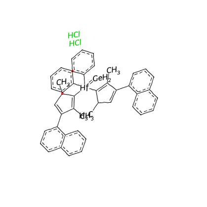 CC1=[C]([Hf](=[GeH2])([C]2=C(C)C(c3cccc4ccccc34)=CC2C)([c]2ccccc2)[c]2ccccc2)C(C)C=C1c1cccc2ccccc12.Cl.Cl